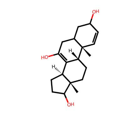 C[C@]12C=CC(O)CC1CC(O)=C1[C@H]2CC[C@]2(C)C(O)CC[C@@H]12